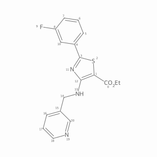 CCOC(=O)c1sc(-c2cccc(F)c2)nc1NCc1cccnc1